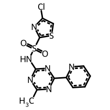 Cc1nc(NS(=O)(=O)c2nc(Cl)cs2)nc(-c2ccccn2)n1